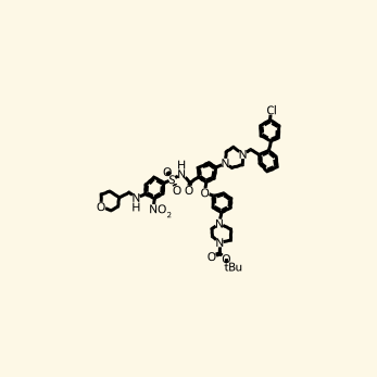 CC(C)(C)OC(=O)N1CCN(c2cccc(Oc3cc(N4CCN(Cc5ccccc5-c5ccc(Cl)cc5)CC4)ccc3C(=O)NS(=O)(=O)c3ccc(NCC4CCOCC4)c([N+](=O)[O-])c3)c2)CC1